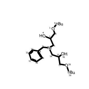 CCCCOCC(O)CN(Cc1ccccc1)CC(O)COCCCC